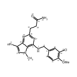 CCCc1nn(C)c2c(NCc3ccc(OC)c(Cl)c3)nc(CCC(N)=O)nc12